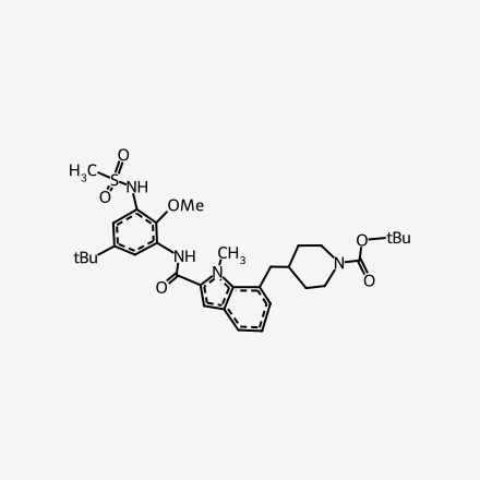 COc1c(NC(=O)c2cc3cccc(CC4CCN(C(=O)OC(C)(C)C)CC4)c3n2C)cc(C(C)(C)C)cc1NS(C)(=O)=O